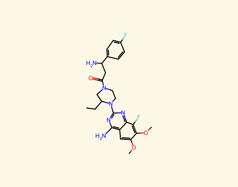 CCC1CN(C(=O)CC(N)c2ccc(F)cc2)CCN1c1nc(N)c2cc(OC)c(OC)c(F)c2n1